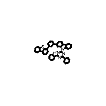 c1ccc(C2=NC(n3c4ccccc4c4ccc(-c5cccc(-c6cccc7c6sc6ccccc67)c5)cc43)NC(c3ccccc3)=N2)cc1